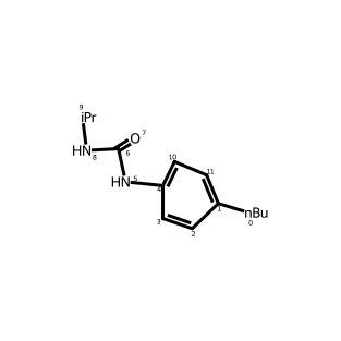 CCCCc1ccc(NC(=O)NC(C)C)cc1